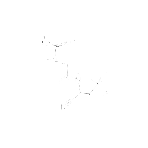 N#CC1CC(F)(F)CN1C(=O)CNC(=O)O